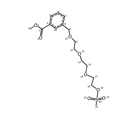 COC(=O)c1cccc(COCCOCCOCCOS(C)(=O)=O)c1